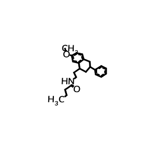 CCCC(=O)NCCC1CC(c2ccccc2)Cc2ccc(OC)cc21